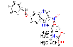 CC(C)(C)N(C(=O)O)C(C)(C)CNc1c([N+](=O)[O-])cnc2cc(OCc3ccccc3)ccc12